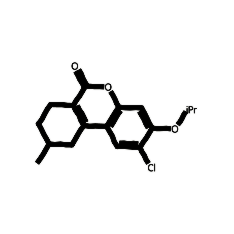 CC1CCc2c(c3cc(Cl)c(OC(C)C)cc3oc2=O)C1